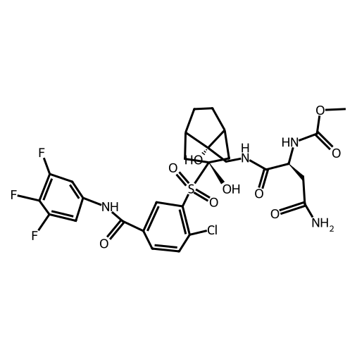 COC(=O)N[C@@H](CC(N)=O)C(=O)NC[C@]1(O)C2CCC1C[C@@](O)(S(=O)(=O)c1cc(C(=O)Nc3cc(F)c(F)c(F)c3)ccc1Cl)C2